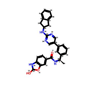 C[C@@H](NC(=O)c1ccc2c(c1)OC(O)N2)c1cccc(-c2cnc(NC3Cc4ccccc4C3)nc2)c1